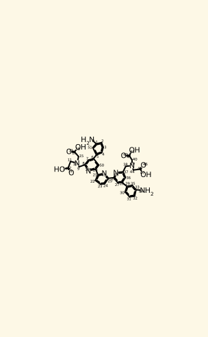 Nc1cccc(-c2cc(CN(CC(=O)O)CC(=O)O)nc(-c3cccc(-c4cc(-c5cccc(N)c5)cc(CN(CC(=O)O)CC(=O)O)n4)n3)c2)c1